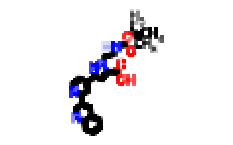 CC(C)(C)OC(=O)NCCn1nc(-c2ccnc(-c3cnc4ccccc4c3)c2)cc1C(=O)O